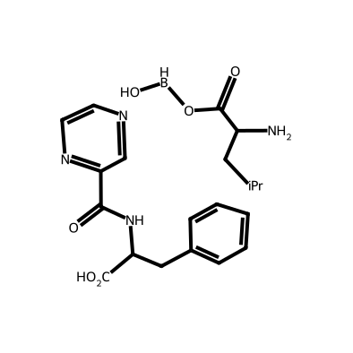 CC(C)CC(N)C(=O)OBO.O=C(NC(Cc1ccccc1)C(=O)O)c1cnccn1